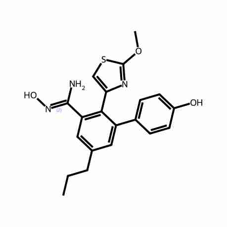 CCCc1cc(/C(N)=N/O)c(-c2csc(OC)n2)c(-c2ccc(O)cc2)c1